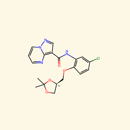 CC1(C)OC[C@H](COc2ccc(Cl)cc2NC(=O)c2cnn3cccnc23)O1